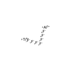 [Al+3].[F-].[F-].[F-].[F-].[F-].[F-].[F-].[Ti+4]